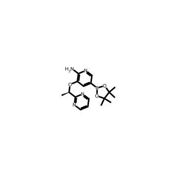 C[C@@H](Oc1cc(B2OC(C)(C)C(C)(C)O2)cnc1N)c1ncccn1